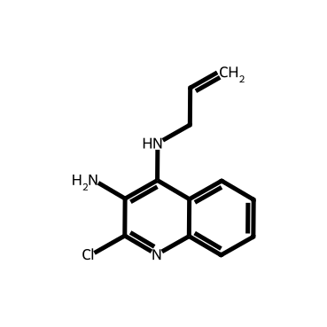 C=CCNc1c(N)c(Cl)nc2ccccc12